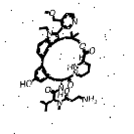 CCn1c(-c2cnccc2COC)c2c3cc(ccc31)-c1cc(O)cc(c1)C[C@H](NC(=O)C(C(C)C)N(C)C(=O)CCN)C(=O)N1CCC[C@H](N1)C(=O)OCC(C)(C)C2